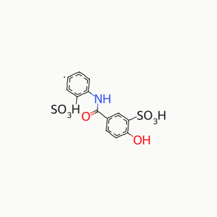 O=C(Nc1cc[c]cc1S(=O)(=O)O)c1ccc(O)c(S(=O)(=O)O)c1